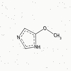 COc1cn[c][nH]1